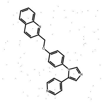 c1ccc2nc(COc3ccc(-n4cncc4-c4ccncc4)cc3)ccc2c1